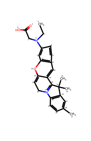 CCN(CC(=O)O)c1ccc2c(c1)OC1=CC[N+]3=C(C1=C2)C(C)(C)c1cc(C)ccc13